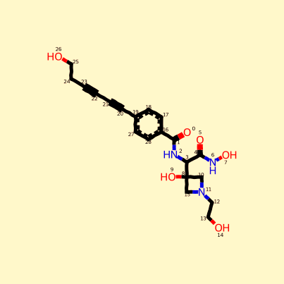 O=C(NC(C(=O)NO)C1(O)CN(CCO)C1)c1ccc(C#CC#CCCO)cc1